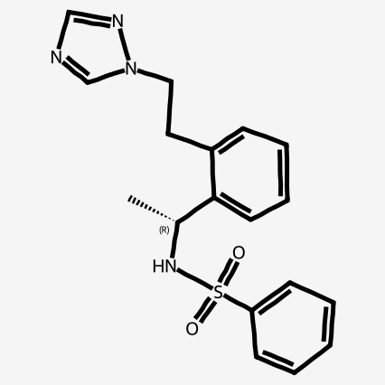 C[C@@H](NS(=O)(=O)c1ccccc1)c1ccccc1CCn1cncn1